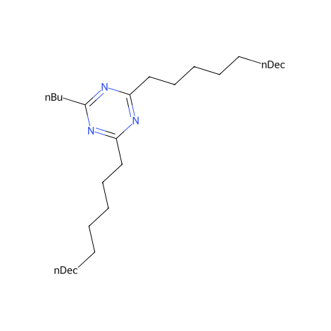 [CH2]CCCc1nc(CCCCCCCCCCCCCCC)nc(CCCCCCCCCCCCCCC)n1